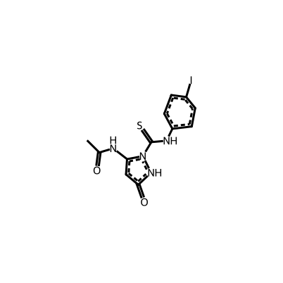 CC(=O)Nc1cc(=O)[nH]n1C(=S)Nc1ccc(I)cc1